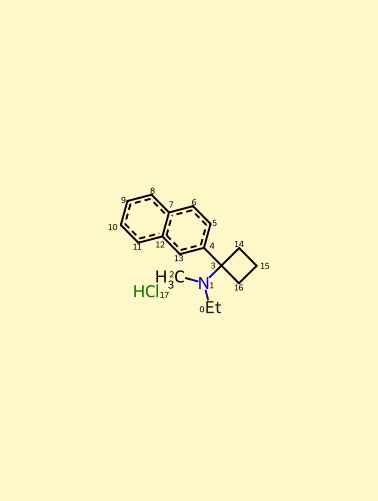 CCN(C)C1(c2ccc3ccccc3c2)CCC1.Cl